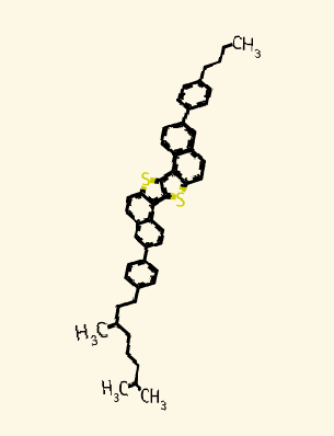 CCCCc1ccc(-c2ccc3c(ccc4sc5c(sc6ccc7cc(-c8ccc(CCC(C)CCCC(C)C)cc8)ccc7c65)c43)c2)cc1